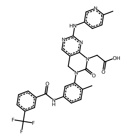 Cc1ccc(Nc2ncc3c(n2)N(CC(=O)O)C(=O)N(c2cc(NC(=O)c4cccc(C(F)(F)F)c4)ccc2C)C3)cn1